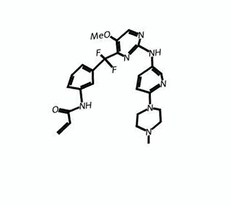 C=CC(=O)Nc1cccc(C(F)(F)c2nc(Nc3ccc(N4CCN(C)CC4)nc3)ncc2OC)c1